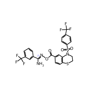 N/C(=N\OC(=O)c1ccc2c(c1)N(S(=O)(=O)c1ccc(C(F)(F)F)cc1)CCS2)c1cccc(C(F)(F)F)c1